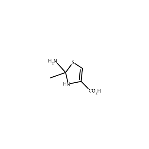 CC1(N)NC(C(=O)O)=CS1